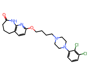 O=C1CCCc2ccc(OCCCCN3CCN(c4cccc(Cl)c4Cl)CC3)nc2N1